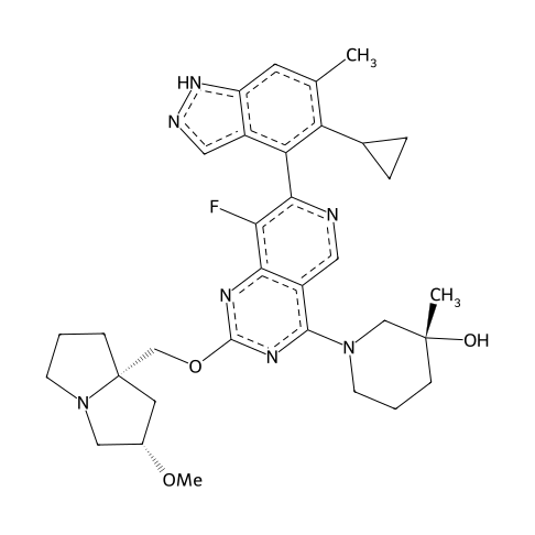 CO[C@@H]1CN2CCC[C@@]2(COc2nc(N3CCC[C@@](C)(O)C3)c3cnc(-c4c(C5CC5)c(C)cc5[nH]ncc45)c(F)c3n2)C1